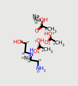 CC(=O)O.CC(=O)O.CC(=O)O.NCCNCCO.[Na].[Na].[Na]